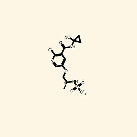 C[C@@H](COc1cnc(Cl)c(C(=O)NC2(C#N)CC2)c1)NS(=O)(=O)C(F)(F)F